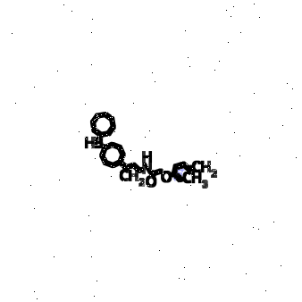 C=C/C=C\C(=C/C)OCC(=O)NCCC(=C)C1CCCC(BC2CCCCCCC2)CCC1